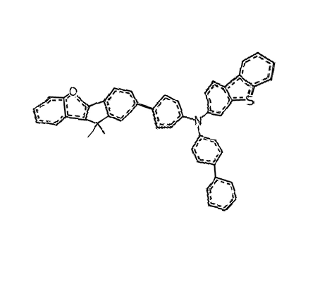 CC1(C)c2cc(-c3ccc(N(c4ccc(-c5ccccc5)cc4)c4ccc5c(c4)sc4ccccc45)cc3)ccc2-c2oc3ccccc3c21